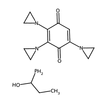 CCC(O)P.O=C1C=C(N2CC2)C(=O)C(N2CC2)=C1N1CC1